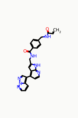 C=CC(=O)NCc1ccc(C(=O)NCc2cc3c(-c4cnn5ncccc45)ccnc3[nH]2)cc1